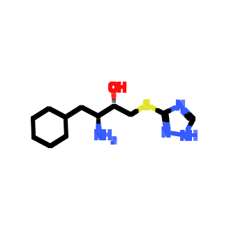 N[C@@H](CC1CCCCC1)[C@H](O)CSc1nc[nH]n1